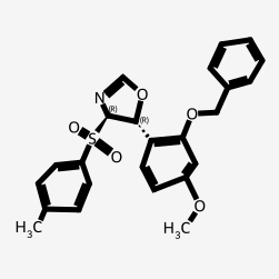 COc1ccc([C@H]2OC=N[C@@H]2S(=O)(=O)c2ccc(C)cc2)c(OCc2ccccc2)c1